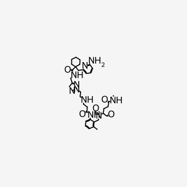 CNC(=O)CCC(C=O)N(C=O)Cc1c(C)cccc1NC(=O)CCNCCn1ncc(CNC(=O)C2(Cc3cccc(N)n3)CCCCC2)n1